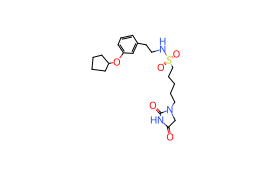 O=C1CN(CCCCCS(=O)(=O)NCCc2cccc(OC3CCCC3)c2)C(=O)N1